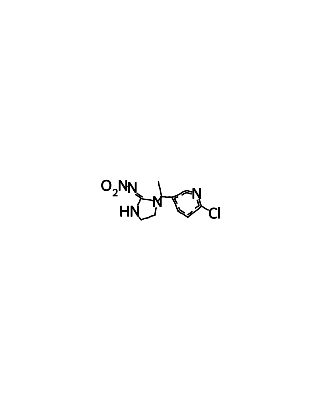 CC(c1ccc(Cl)nc1)N1CCNC1=N[N+](=O)[O-]